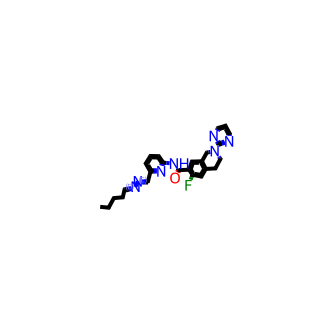 CCCC/C=N/N=C/c1cccc(NC(=O)c2cc3c(cc2F)CCN(c2ncccn2)C3)n1